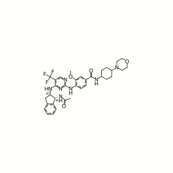 COc1cc(C(=O)NC2CCC(N3CCOCC3)CC2)ccc1Nc1ncc(C(F)(F)F)c(N[C@@H]2Cc3ccccc3[C@H]2NC(C)=O)n1